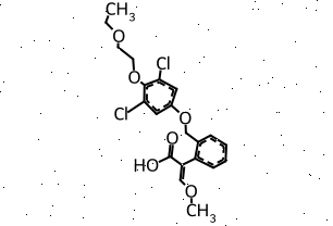 CCOCCOc1c(Cl)cc(OCc2ccccc2/C(=C\OC)C(=O)O)cc1Cl